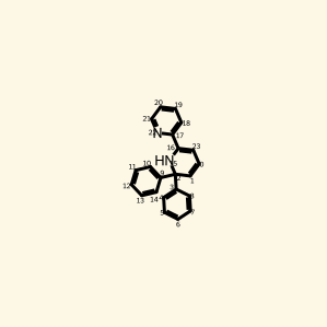 C1=CC(c2ccccc2)(c2ccccc2)NC(c2ccccn2)=C1